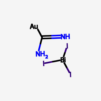 N=[C](N)[Au].[I][Bi]([I])[I]